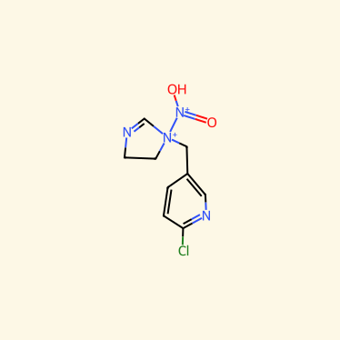 O=[N+](O)[N+]1(Cc2ccc(Cl)nc2)C=NCC1